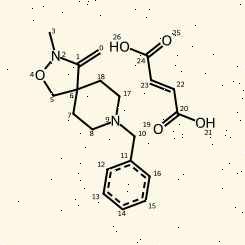 C=C1N(C)OCC12CCN(Cc1ccccc1)CC2.O=C(O)C=CC(=O)O